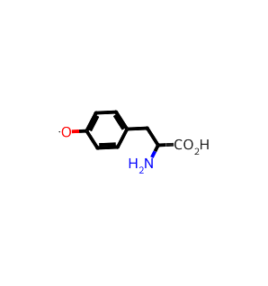 NC(Cc1ccc([O])cc1)C(=O)O